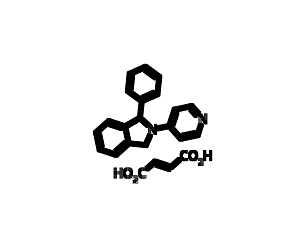 O=C(O)C=CC(=O)O.c1ccc(C2c3ccccc3CN2c2ccncc2)cc1